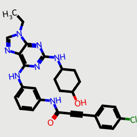 CCn1cnc2c(Nc3cccc(NC(=O)C#Cc4ccc(Cl)cc4)c3)nc(NC3CCC(O)CC3)nc21